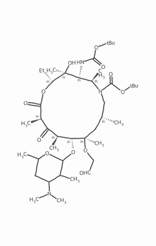 CC[C@H]1OC(=O)[C@H](C)C(=O)[C@H](C)[C@@H](OC2OC(C)CC(N(C)C)C2C)[C@](C)(OCC=O)C[C@@H](C)CN(C(=O)OC(C)(C)C)[C@H](C)[C@@H](NC(=O)OC(C)(C)C)[C@]1(C)O